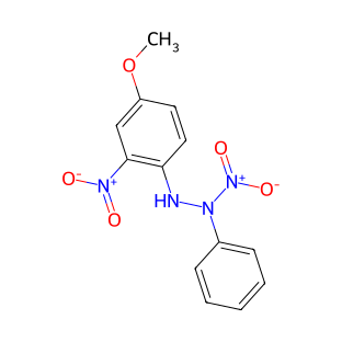 COc1ccc(NN(c2ccccc2)[N+](=O)[O-])c([N+](=O)[O-])c1